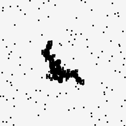 COC[C@H]1COC[C@H]1n1c(Cc2cc(F)c(-c3ccc(F)c(OCc4ccc(Cl)cc4)n3)cc2F)nc2ccc(C(=O)OC(=O)c3ccc4nc(Cc5cc(F)c(-c6ccc(F)c(OCc7ccc(Cl)cc7)n6)cc5F)n([C@@H]5COC[C@@H]5COC)c4c3)cc21